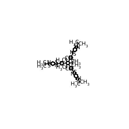 CC(C)c1nc2cc3sc(-c4ccc(-c5c(C(C)C)c(-c6ccc(-c7nc8cc9sc(C(C)C)nc9cc8s7)cc6)c(C(C)C)c(-c6ccc(-c7nc8cc9sc(C(C)C)nc9cc8s7)cc6)c5C(C)C)cc4)nc3cc2s1